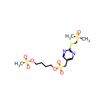 CS(=O)(=O)OCCCCOS(=O)(=O)Cc1cnc(SC[SH](C)(C)=O)nc1